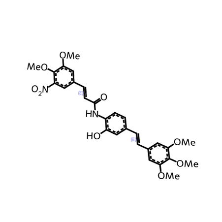 COc1cc(/C=C/c2ccc(NC(=O)/C=C/c3cc(OC)c(OC)c([N+](=O)[O-])c3)c(O)c2)cc(OC)c1OC